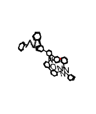 c1ccc(-c2nc(-c3ccccc3)nc(-c3cccc4c3oc3c(-n5c6ccccc6c6ccc(-c7ccc8c(c7)c7ccccc7n8-c7ccccc7)cc65)cccc34)n2)cc1